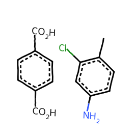 Cc1ccc(N)cc1Cl.O=C(O)c1ccc(C(=O)O)cc1